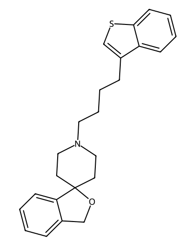 c1ccc2c(c1)COC21CCN(CCCCc2csc3ccccc23)CC1